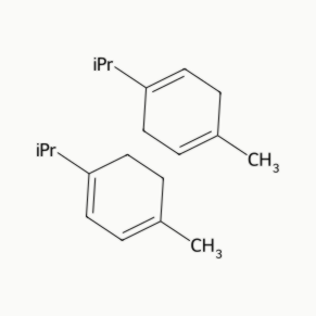 CC1=CC=C(C(C)C)CC1.CC1=CCC(C(C)C)=CC1